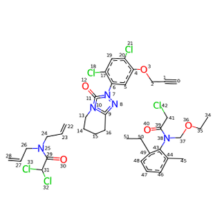 C#CCOc1cc(-n2nc3n(c2=O)CCCC3)c(Cl)cc1Cl.C=CCN(CC=C)C(=O)C(Cl)Cl.CCOCN(C(=O)CCl)c1c(C)cccc1CC